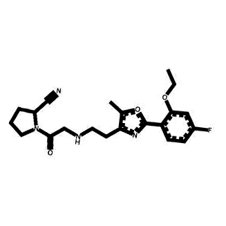 CCOc1cc(F)ccc1-c1nc(CCNCC(=O)N2CCCC2C#N)c(C)o1